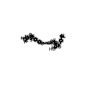 Cc1ncsc1-c1ccc(CNC(=O)[C@@H]2C[C@@H](O)CN2C(=O)C(NC(=O)COCCCCOc2ccc(-c3ccc(N4C(=S)N(c5cnc(C#N)c(C(F)(F)F)c5)C(=O)C4(C)C)cc3)cc2)C(C)(C)C)cc1